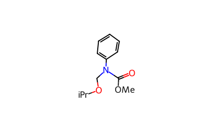 COC(=O)N(COC(C)C)c1ccccc1